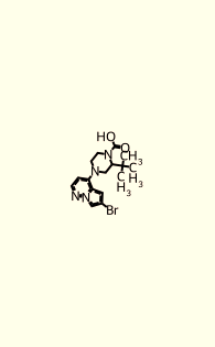 CC(C)(C)C1CN(c2ccnn3cc(Br)cc23)CCN1C(=O)O